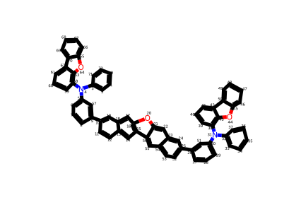 c1ccc(N(c2cccc(-c3ccc4cc5c(cc4c3)oc3cc4cc(-c6cccc(N(c7ccccc7)c7cccc8c7oc7ccccc78)c6)ccc4cc35)c2)c2cccc3c2oc2ccccc23)cc1